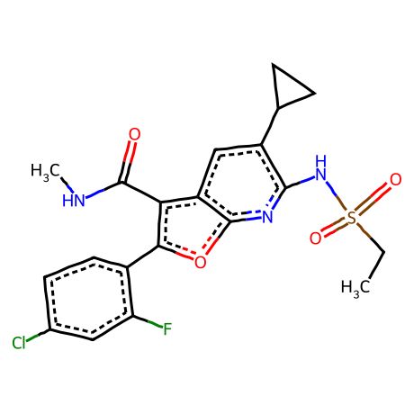 CCS(=O)(=O)Nc1nc2oc(-c3ccc(Cl)cc3F)c(C(=O)NC)c2cc1C1CC1